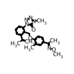 C=C(C)c1cccc(-n2nnn(C)c2=O)c1COc1ccc(C(C)=NOC)cc1C